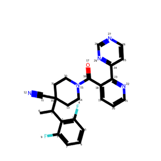 CC(c1c(F)cccc1F)C1(C#N)CCN(C(=O)c2cccnc2-c2ccncn2)CC1